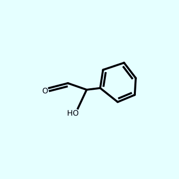 O=CC(O)c1ccccc1